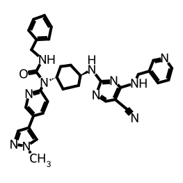 Cn1cc(-c2ccc(N(C(=O)NCc3ccccc3)[C@H]3CC[C@H](Nc4ncc(C#N)c(NCc5cccnc5)n4)CC3)nc2)cn1